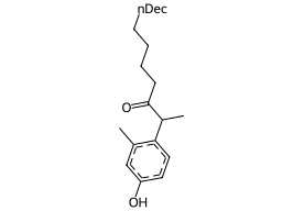 CCCCCCCCCCCCCCC(=O)C(C)c1ccc(O)cc1C